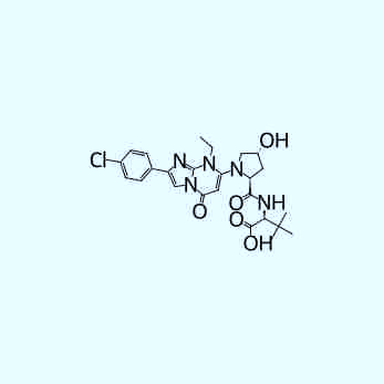 CCn1c(N2C[C@H](O)C[C@H]2C(=O)N[C@H](C(=O)O)C(C)(C)C)cc(=O)n2cc(-c3ccc(Cl)cc3)nc12